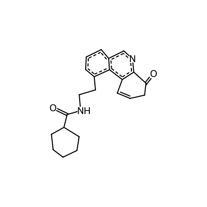 O=C1CC=Cc2c1ncc1cccc(CCNC(=O)C3CCCCC3)c21